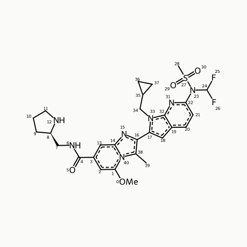 COc1cc(C(=O)NC[C@H]2CCCN2)cc2nc(-c3cc4ccc(N(C(F)F)S(C)(=O)=O)nc4n3CC3CC3)c(C)n12